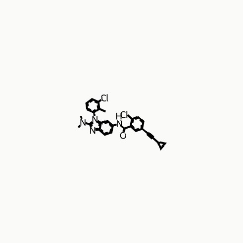 Cc1c(Cl)cccc1-n1c(N(C)C)nc2ccc(NC(=O)c3cc(C#CC4CC4)ccc3Cl)cc21